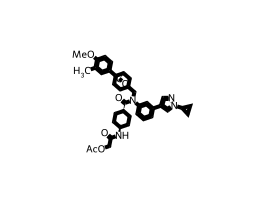 COc1ccc(C23CCC(CN(c4cccc(-c5cnn(C6CC6)c5)c4)C(=O)[C@H]4CC[C@H](NC(=O)COC(C)=O)CC4)(CC2)CC3)cc1C